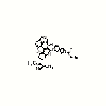 Cc1ccc2cn[nH]c2c1-c1c(C)c(N2CCC3(CN(C(=O)OC(C)(C)C)C3)C2)nc2c1CC[C@@H](c1c(C)cnn1C)C2